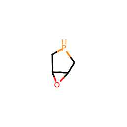 C1PCC2OC12